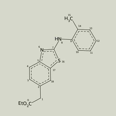 CCOC(=O)Cc1ccc2nc(Nc3ccccc3C)sc2c1